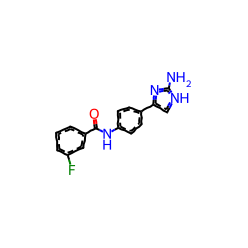 Nc1nc(-c2ccc(NC(=O)c3cccc(F)c3)cc2)c[nH]1